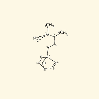 C=C(C)C(C)CCC12C=CC(CC1)C2